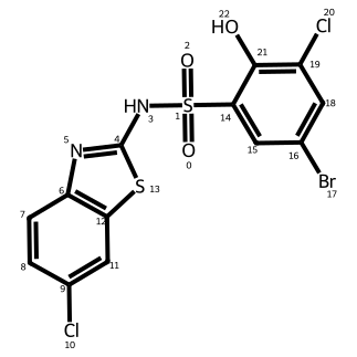 O=S(=O)(Nc1nc2ccc(Cl)cc2s1)c1cc(Br)cc(Cl)c1O